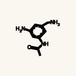 CC(=O)Nc1cc(N)cc(CN)c1